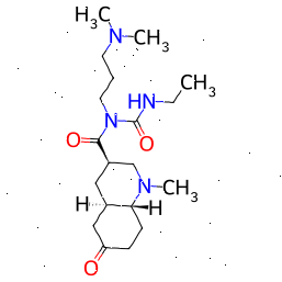 CCNC(=O)N(CCCN(C)C)C(=O)[C@@H]1C[C@@H]2CC(=O)CC[C@H]2N(C)C1